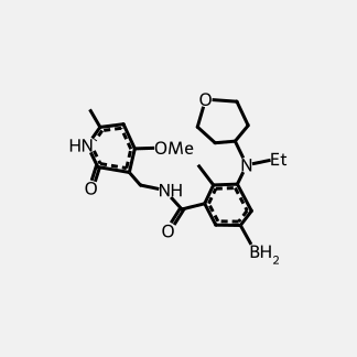 Bc1cc(C(=O)NCc2c(OC)cc(C)[nH]c2=O)c(C)c(N(CC)C2CCOCC2)c1